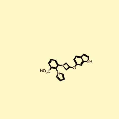 O=C(O)c1cccc(N2CC(Oc3ccc4cc[nH]c4c3)C2)c1-n1cccc1